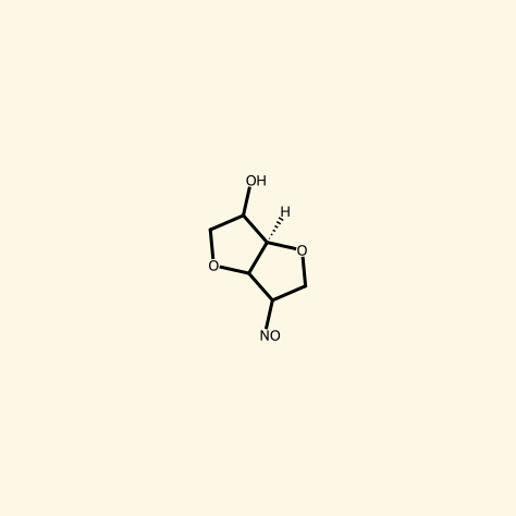 O=NC1CO[C@@H]2C(O)COC12